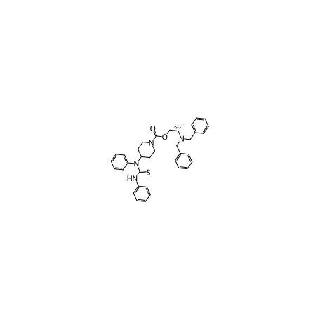 C[C@@H](COC(=O)N1CCC(N(C(=S)Nc2ccccc2)c2ccccc2)CC1)N(Cc1ccccc1)Cc1ccccc1